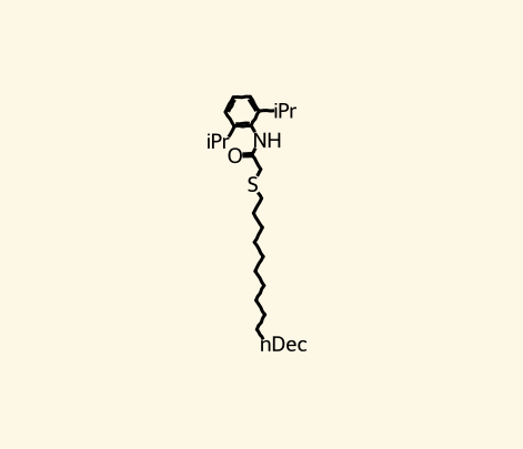 CCCCCCCCCCCCCCCCCCCCSCC(=O)Nc1c(C(C)C)cccc1C(C)C